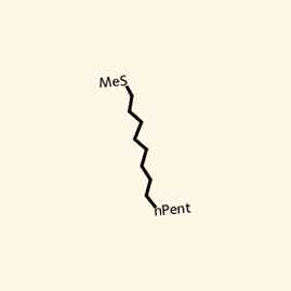 CCCCCCCCCCCCCSC